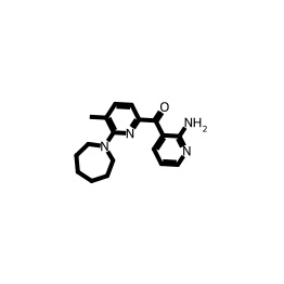 Cc1ccc(C(=O)c2cccnc2N)nc1N1CCCCCC1